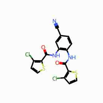 N#Cc1ccc(NC(=O)c2sccc2Cl)c(NC(=O)c2sccc2Cl)c1